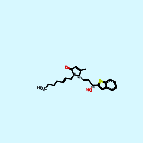 CC1=CC(=O)[C@H](CC=CCCCC(=O)O)[C@H]1C=C[C@@H](O)c1cc2ccccc2s1